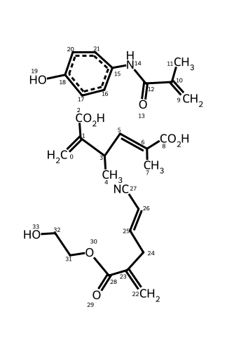 C=C(C(=O)O)C(C)C=C(C)C(=O)O.C=C(C)C(=O)Nc1ccc(O)cc1.C=C(CC=CC#N)C(=O)OCCO